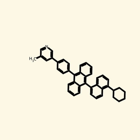 Cc1cncc(-c2ccc(-c3c4ccccc4c(-c4cccc5c(C6CCCCC6)cccc45)c4ccccc34)cc2)c1